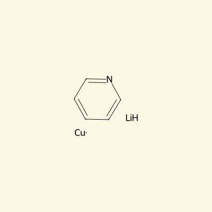 [Cu].[LiH].c1ccncc1